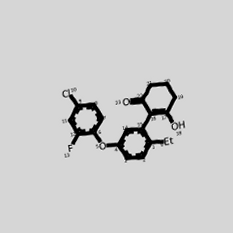 CCc1ccc(Oc2ccc(Cl)cc2F)cc1C1=C(O)CCCC1=O